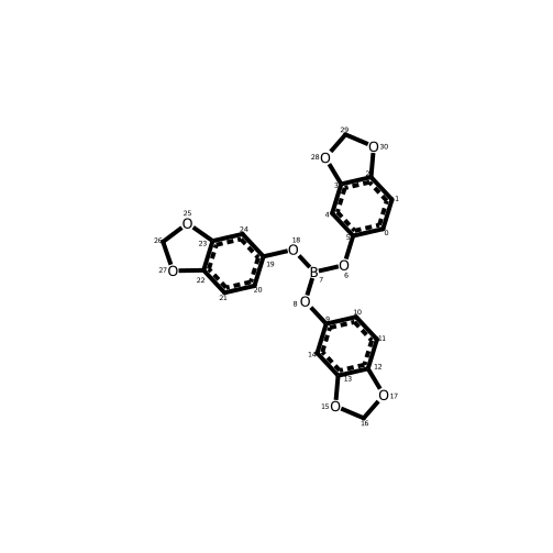 c1cc2c(cc1OB(Oc1ccc3c(c1)OCO3)Oc1ccc3c(c1)OCO3)OCO2